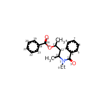 CCN(C(=O)c1ccccc1)C(C)CC(C)OC(=O)c1ccccc1